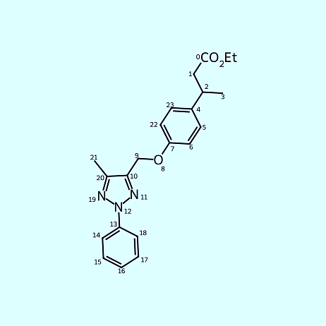 CCOC(=O)CC(C)c1ccc(OCc2nn(-c3ccccc3)nc2C)cc1